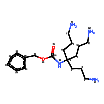 NCCCC(CCCN)(CCCN)NC(=O)OCc1ccccc1